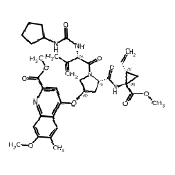 C=C[C@@H]1C[C@]1(NC(=O)[C@@H]1C[C@@H](Oc2cc(C(=O)OC)nc3cc(OC)c(C)cc23)CN1C(=O)[C@@H](NC(=O)NC1CCCC1)C(=C)C)C(=O)OC